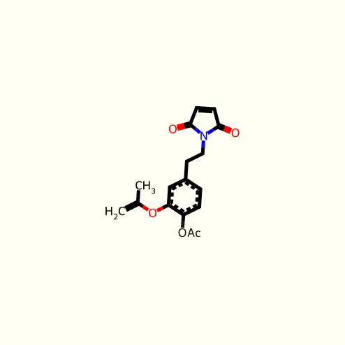 C=C(C)Oc1cc(CCN2C(=O)C=CC2=O)ccc1OC(C)=O